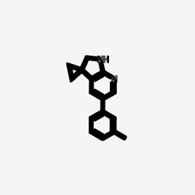 Cc1cccc(-c2cnc3c(c2)C2(CC2)CN3)c1